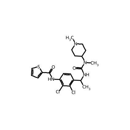 CC(NC(=O)N(C)C1CCN(C)CC1)c1ccc(NC(=O)c2cccs2)c(Cl)c1Cl